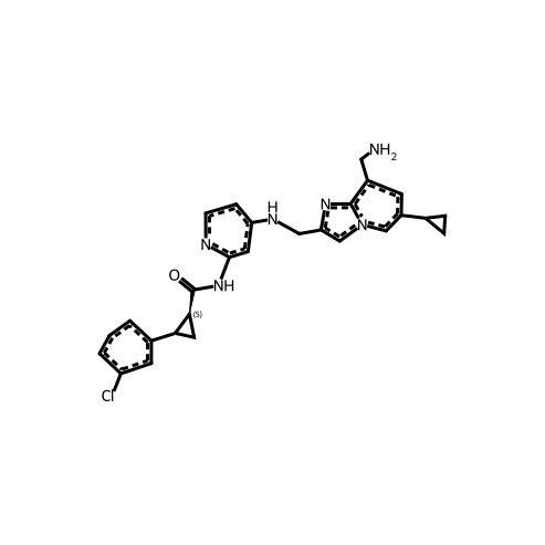 NCc1cc(C2CC2)cn2cc(CNc3ccnc(NC(=O)[C@H]4CC4c4cccc(Cl)c4)c3)nc12